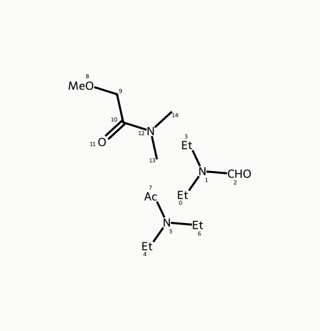 CCN(C=O)CC.CCN(CC)C(C)=O.COCC(=O)N(C)C